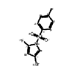 Cc1ccc(S(=O)(=O)n2cc(Br)cc2F)cc1